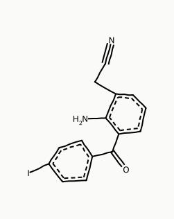 N#CCc1cccc(C(=O)c2ccc(I)cc2)c1N